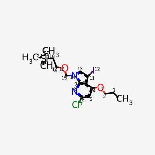 CCCOc1cc(Cl)nc2c1c(I)cn2COCC[Si](C)(C)C